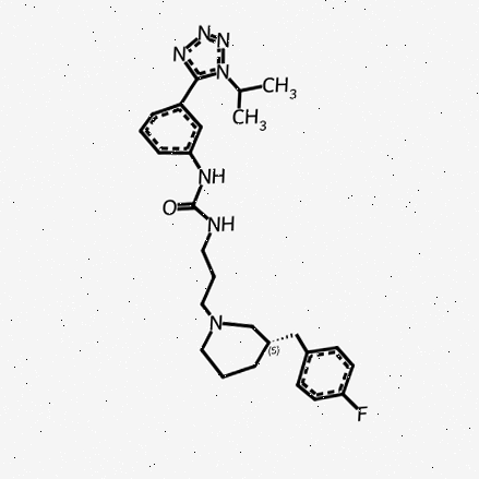 CC(C)n1nnnc1-c1cccc(NC(=O)NCCCN2CCC[C@@H](Cc3ccc(F)cc3)C2)c1